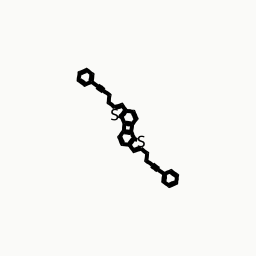 C(#Cc1ccccc1)CCc1cc2ccc3c(c2s1)-c1ccc2cc(CCC#Cc4ccccc4)sc2c1-3